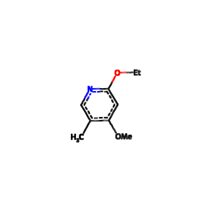 CCOc1cc(OC)c(C)cn1